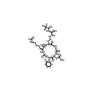 CC(=O)NCCC/C=C1/NC(=O)[C@@H](Cc2ccccc2)NC(=O)[C@H](CC(=O)O)NC(=O)CNC(=O)[C@H](CCCNC(=N)NC(=O)C(F)(F)F)NC1=O